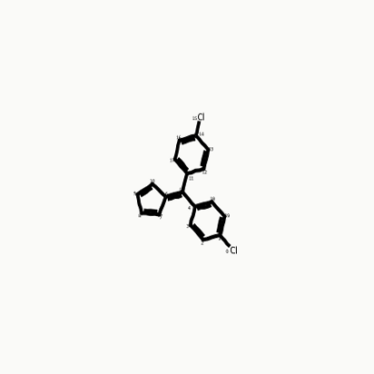 Clc1ccc(C(=C2[C]=CC=C2)c2ccc(Cl)cc2)cc1